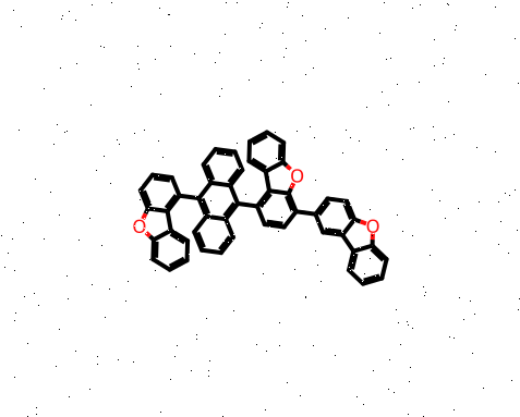 c1ccc2c(c1)oc1ccc(-c3ccc(-c4c5ccccc5c(-c5cccc6oc7ccccc7c56)c5ccccc45)c4c3oc3ccccc34)cc12